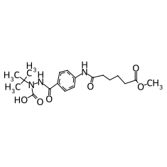 COC(=O)CCCCC(=O)Nc1ccc(C(=O)NN(C(=O)O)C(C)(C)C)cc1